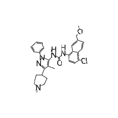 COCc1ccc2c(Cl)ccc(NC(=O)Nc3c(C)c(C4CCN(C)CC4)nn3-c3ccccc3)c2c1